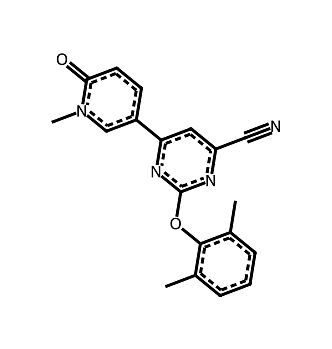 Cc1cccc(C)c1Oc1nc(C#N)cc(-c2ccc(=O)n(C)c2)n1